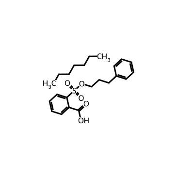 CCCCCCC.O=C(O)c1ccccc1S(=O)(=O)OCCCc1ccccc1